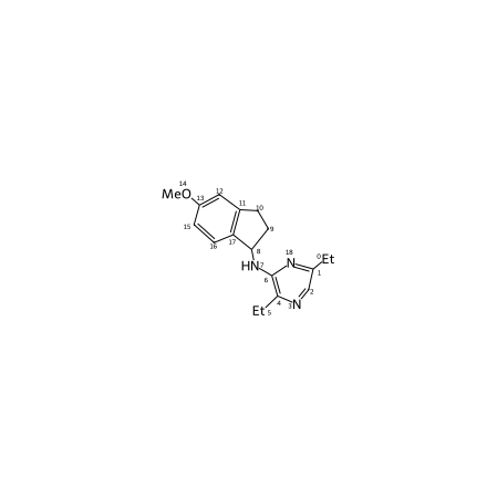 CCc1cnc(CC)c(NC2CCc3cc(OC)ccc32)n1